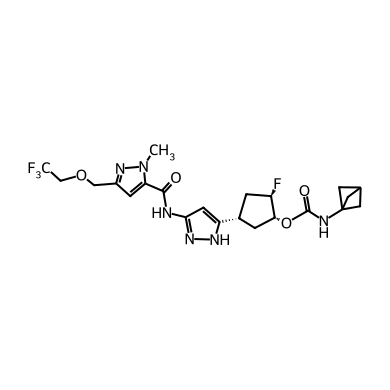 Cn1nc(COCC(F)(F)F)cc1C(=O)Nc1cc([C@@H]2C[C@@H](F)[C@H](OC(=O)NC34CC(C3)C4)C2)[nH]n1